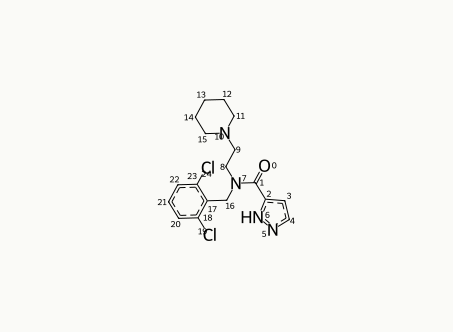 O=C(c1ccn[nH]1)N(CCN1CCCCC1)Cc1c(Cl)cccc1Cl